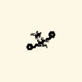 NC(C(=O)NCCc1ccccc1)C(=O)NCCc1ccccc1.O=C(O)C(F)(F)F